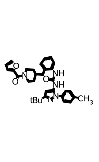 Cc1ccc(-n2nc(C(C)(C)C)cc2NC(=O)Nc2ccccc2CC2CCN(C(=O)c3ccco3)CC2)cc1